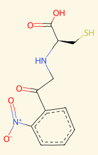 O=C(CN[C@H](CS)C(=O)O)c1ccccc1[N+](=O)[O-]